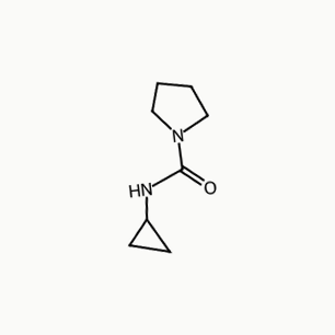 O=C(NC1CC1)N1CCCC1